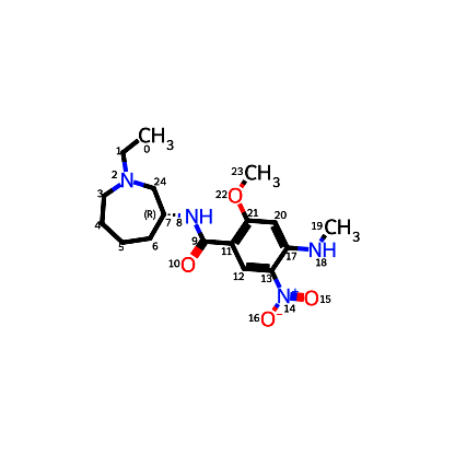 CCN1CCCC[C@@H](NC(=O)c2cc([N+](=O)[O-])c(NC)cc2OC)C1